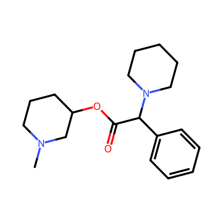 CN1CCCC(OC(=O)C(c2ccccc2)N2CCCCC2)C1